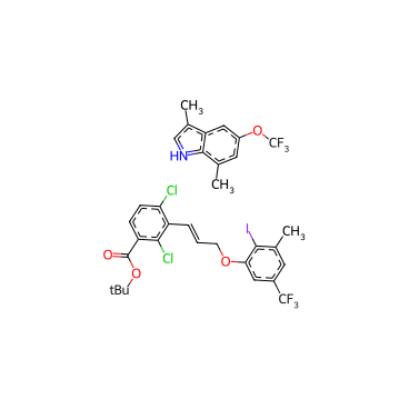 Cc1c[nH]c2c(C)cc(OC(F)(F)F)cc12.Cc1cc(C(F)(F)F)cc(OCC=Cc2c(Cl)ccc(C(=O)OC(C)(C)C)c2Cl)c1I